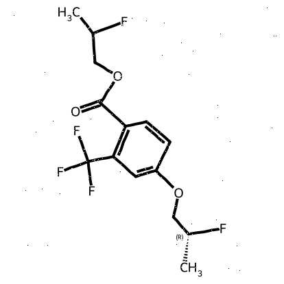 CC(F)COC(=O)c1ccc(OC[C@@H](C)F)cc1C(F)(F)F